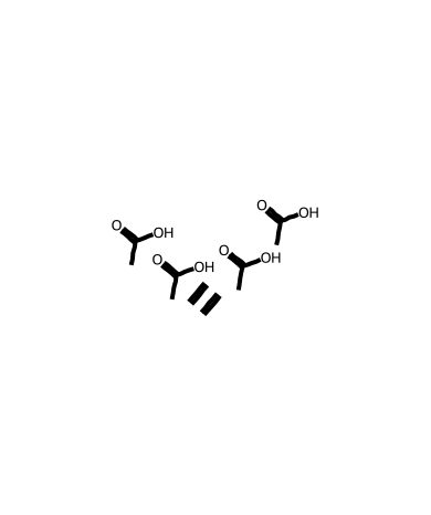 C=C.C=C.CC(=O)O.CC(=O)O.CC(=O)O.CC(=O)O